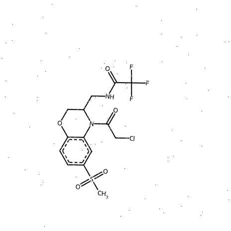 CS(=O)(=O)c1ccc2c(c1)N(C(=O)CCl)C(CNC(=O)C(F)(F)F)CO2